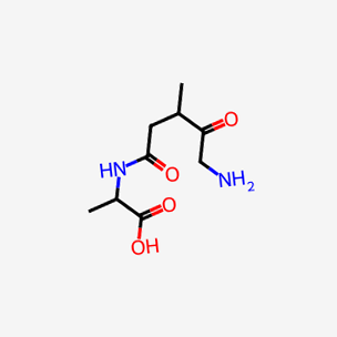 CC(CC(=O)NC(C)C(=O)O)C(=O)CN